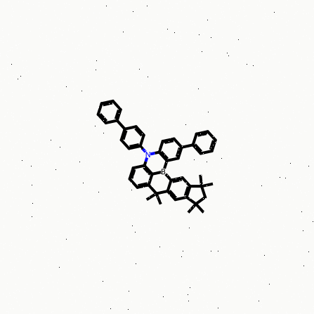 CC1(C)CC(C)(C)c2cc3c(cc21)B1c2cc(-c4ccccc4)ccc2N(c2ccc(-c4ccccc4)cc2)c2cccc(c21)C3(C)C